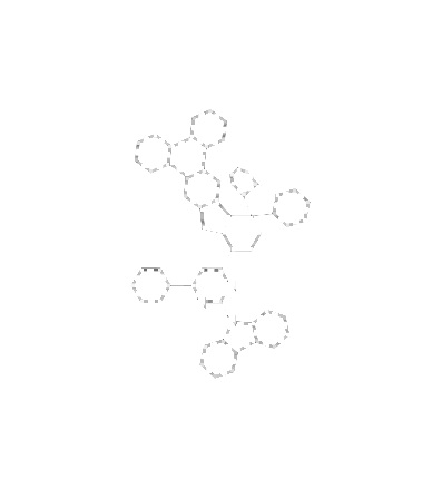 C1=CC2(C3=c4cc5c6ccccc6c6ccccc6c5cc4=CC3=C1c1cc(-c3ccccc3)nc(-n3c4ccccc4c4ccccc43)n1)c1ccccc1-c1ccccc12